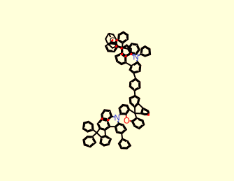 c1ccc(-c2ccc(N(c3ccccc3)c3cccc4c3Oc3ccccc3C43c4ccccc4-c4cc(-c5ccc(-c6ccc(N(c7ccccc7)c7ccc(C89CC%10CC(CC8C%10)C9)cc7)c(-c7cccc8c7-c7ccccc7C8(c7ccccc7)c7ccccc7)c6)cc5)ccc43)c(-c3cccc4c3-c3ccccc3C4(c3ccccc3)c3ccccc3)c2)cc1